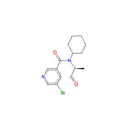 C[C@@H]([C]=O)N(C(=O)c1cncc(Br)c1)C1CCCCC1